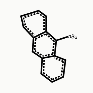 CCCCc1c2ccccc2cc2ccccc12